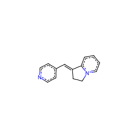 C(=C1CC[n+]2ccccc21)c1ccncc1